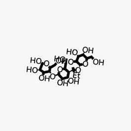 CCC(C)(O[C@H]1OC(CO)[C@@H](O)[C@H](O)C1O)[C@@H]1C(CO)O[C@H](O[C@@H]2C(CO)OC(O)[C@@H](O)C2O)[C@@H](O)C1O